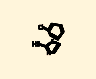 Clc1ccccc1.Sc1nccs1